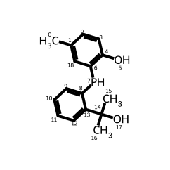 Cc1ccc(O)c(Pc2ccccc2C(C)(C)O)c1